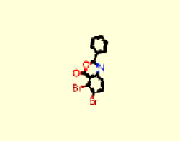 O=c1oc(-c2ccccc2)nc2ccc(Br)c(Br)c12